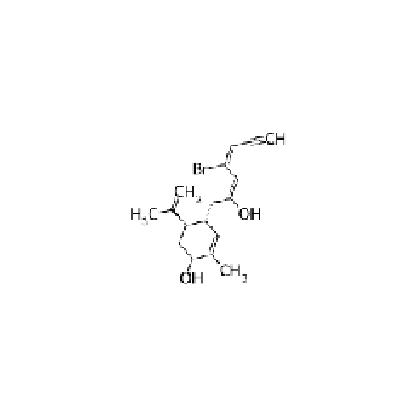 C#C/C=C(Br)\C=C(\O)C[C@@H]1C=C(C)C(O)C[C@H]1C(=C)C